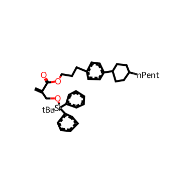 C=C(CO[Si](c1ccccc1)(c1ccccc1)C(C)(C)C)C(=O)OCCCc1ccc(C2CCC(CCCCC)CC2)cc1